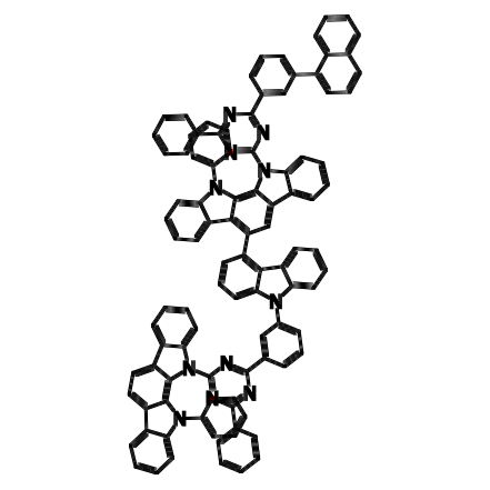 c1ccc(-c2nc(-c3cccc(-n4c5ccccc5c5c(-c6cc7c8ccccc8n(-c8nc(-c9ccccc9)nc(-c9cccc(-c%10cccc%11ccccc%10%11)c9)n8)c7c7c6c6ccccc6n7-c6ccccc6)cccc54)c3)nc(-n3c4ccccc4c4ccc5c6ccccc6n(-c6ccccc6)c5c43)n2)cc1